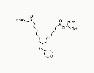 CCCCCCCCCOC(=O)CCCCCCC(CCCCCCC(=O)OC(CCCCCCCC)CCCCCCCC)NC1CCOCC1